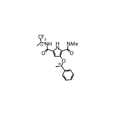 CNC(=O)c1[nH]c(C(=O)N[C@@H](C)C(F)(F)F)cc1O[C@H](C)c1ccccc1